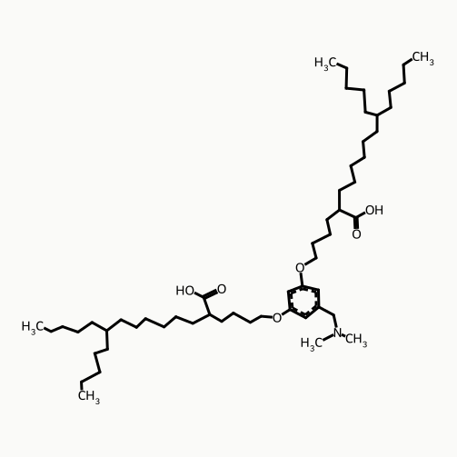 CCCCCC(CCCCC)CCCCCCC(CCCCOc1cc(CN(C)C)cc(OCCCCC(CCCCCCC(CCCCC)CCCCC)C(=O)O)c1)C(=O)O